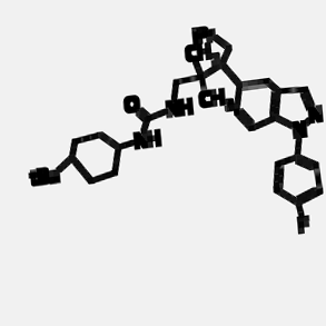 CC(C)CC(c1ccc2c(cnn2-c2ccc(F)cc2)c1)C(C)(C)CNC(=O)NC1CCC(C(C)(C)C)CC1